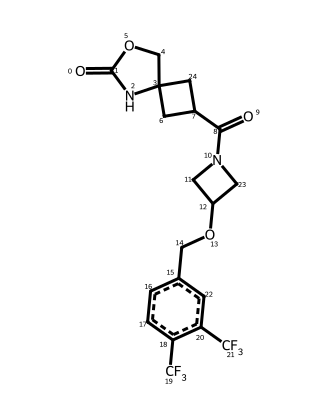 O=C1NC2(CO1)CC(C(=O)N1CC(OCc3ccc(C(F)(F)F)c(C(F)(F)F)c3)C1)C2